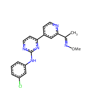 CO/N=C(\C)c1cc(-c2ccnc(Nc3cccc(Cl)c3)n2)ccn1